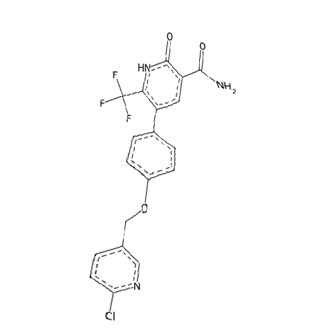 NC(=O)c1cc(-c2ccc(OCc3ccc(Cl)nc3)cc2)c(C(F)(F)F)[nH]c1=O